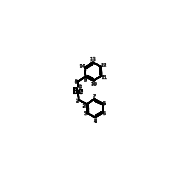 [Be]([CH2]c1ccccc1)[CH2]c1ccccc1